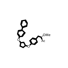 CO[C@@H](Cc1ccc(OC2CCC(Oc3ccc(-c4ccccc4)cc3)C2)cc1)C(C)=O